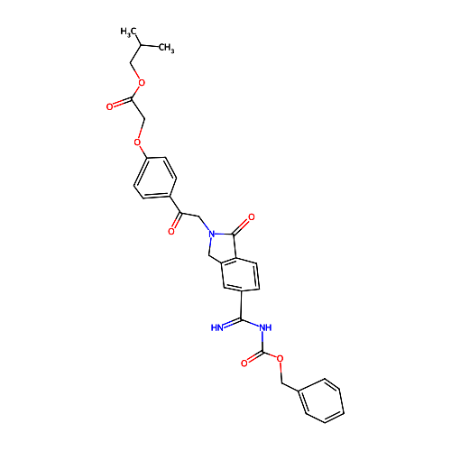 CC(C)COC(=O)COc1ccc(C(=O)CN2Cc3cc(C(=N)NC(=O)OCc4ccccc4)ccc3C2=O)cc1